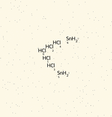 Cl.Cl.Cl.Cl.Cl.[SnH2].[SnH2]